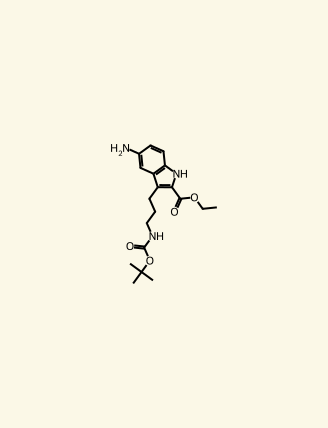 CCOC(=O)c1[nH]c2ccc(N)cc2c1CCCNC(=O)OC(C)(C)C